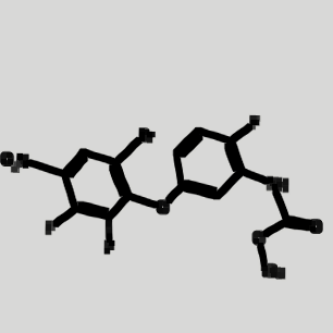 CC(C)(C)OC(=O)Nc1cc(Oc2c(Br)cc([N+](=O)[O-])c(F)c2F)ccc1F